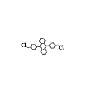 ClCc1ccc(-c2c3ccccc3c(-c3ccc(CCl)cc3)c3ccccc23)cc1